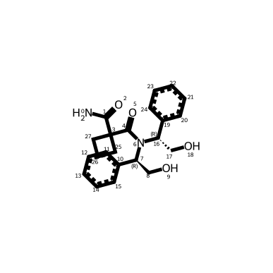 NC(=O)C1(C(=O)N([C@@H](CO)c2ccccc2)[C@@H](CO)c2ccccc2)CCC1